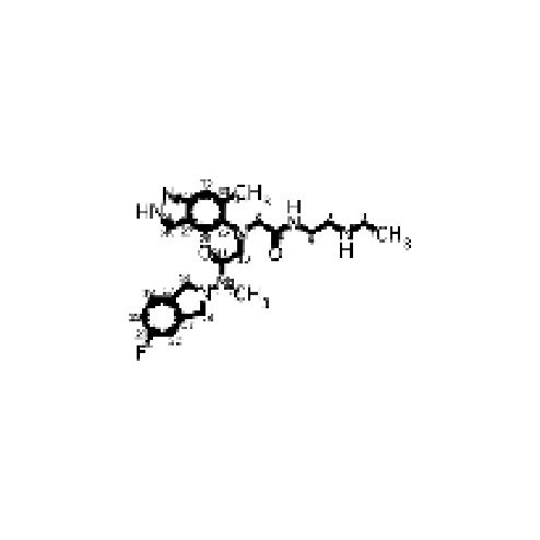 CCNCCNC(=O)CN(CC(=O)N(C)N1Cc2ccc(F)cc2C1)c1cc2c[nH]nc2cc1C